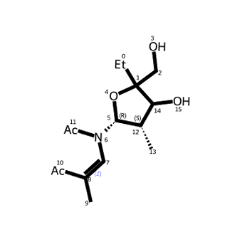 CCC1(CO)O[C@@H](N(/C=C(/C)C(C)=O)C(C)=O)[C@@H](C)C1O